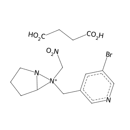 O=C(O)CCC(=O)O.O=[N+]([O-])C[N+]1(Cc2cncc(Br)c2)C2CCCN21